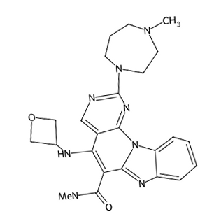 CNC(=O)c1c(NC2COC2)c2cnc(N3CCCN(C)CC3)nc2n2c1nc1ccccc12